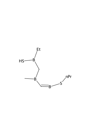 CCCSB=CB(C)CB(S)CC